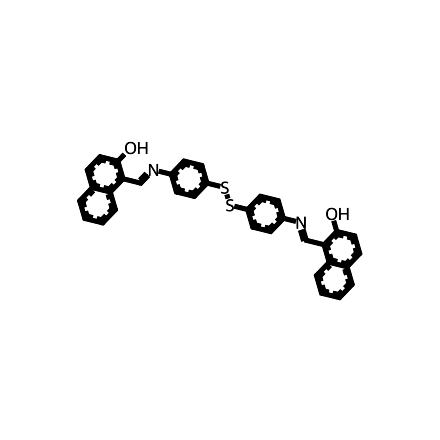 Oc1ccc2ccccc2c1/C=N/c1ccc(SSc2ccc(/N=C/c3c(O)ccc4ccccc34)cc2)cc1